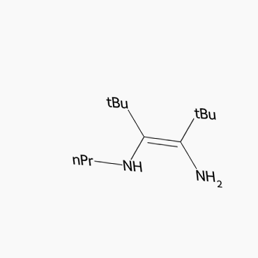 CCCN/C(=C(\N)C(C)(C)C)C(C)(C)C